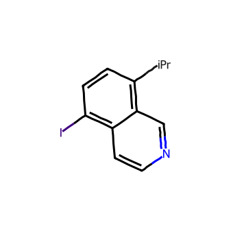 CC(C)c1ccc(I)c2ccncc12